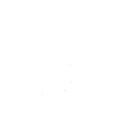 O=C(O)c1nn(Cc2ccc3c(c2)OCO3)c(O)c1Cc1ccccc1